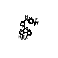 Cc1cccnc1-c1c(C)ccnc1C(=O)N1CC2CC(Nc3ccc(C(F)(F)F)cn3)C1C2